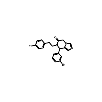 O=C1Cn2cncc2C(c2cccc(Br)c2)N1CCc1ccc(Cl)cc1